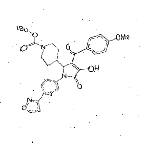 COc1ccc(C(=O)C2=C(O)C(=O)N(c3ccc(-c4ccon4)cc3)C2C2CCN(C(=O)OC(C)(C)C)CC2)cc1